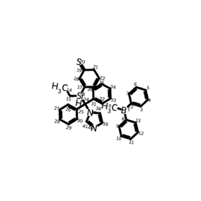 CB(c1ccccc1)c1ccccc1.CC[SiH](C1=CC(=S)CC=C1)C(c1ccccc1)(c1ccccc1)n1ccnc1